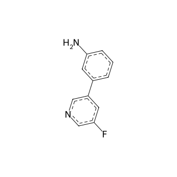 Nc1cccc(-c2cncc(F)c2)c1